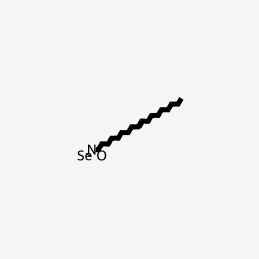 CCCCCCCCC=CCCCCCCCC(=O)N=[Se]